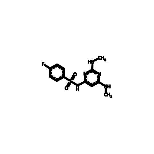 CNc1cc(NS(=O)(=O)c2ccc(F)cc2)nc(NC)n1